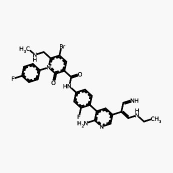 CCN/C=C(\C=N)c1cnc(N)c(-c2ccc(NC(=O)c3cc(Br)c(CNC)n(-c4ccc(F)cc4)c3=O)cc2F)c1